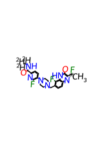 [2H]C([2H])([2H])NC(=O)c1ccc(N2CCN(Cc3ccc4nc([C@@H](C)F)c(=O)[nH]c4c3F)CC2)c(F)n1